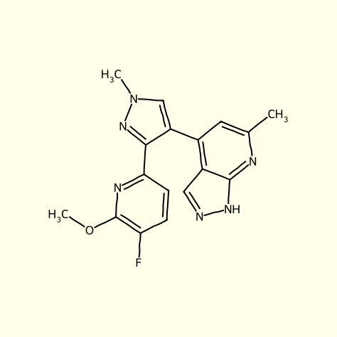 COc1nc(-c2nn(C)cc2-c2cc(C)nc3[nH]ncc23)ccc1F